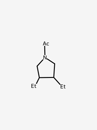 CCC1CN(C(C)=O)CC1CC